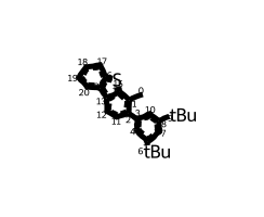 Cc1c(-c2cc(C(C)(C)C)cc(C(C)(C)C)c2)ccc2c1sc1ccccc12